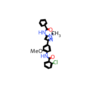 COc1cc(-c2cc(NC(=O)c3ccccc3)n(C)n2)ccc1NC(=O)c1ccccc1Cl